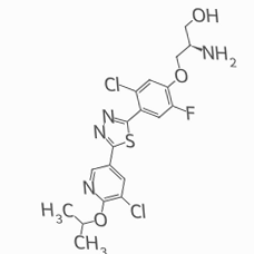 CC(C)Oc1ncc(-c2nnc(-c3cc(F)c(OC[C@H](N)CO)cc3Cl)s2)cc1Cl